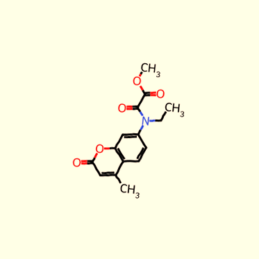 CCN(C(=O)C(=O)OC)c1ccc2c(C)cc(=O)oc2c1